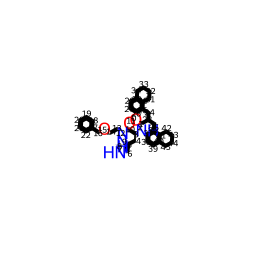 O=C(N[C@@H](Cc1c[nH]cn1)C(=O)NCCOCc1ccccc1)C(Cc1cccc2c1CCCC2)Cc1cccc2c1CCCC2